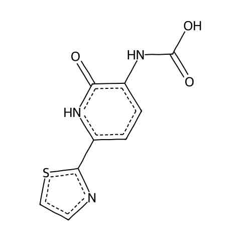 O=C(O)Nc1ccc(-c2nccs2)[nH]c1=O